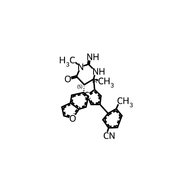 Cc1ccc(C#N)cc1-c1csc([C@@]2(C)NC(=N)N(C)C(=O)[C@H]2c2ccc3occc3c2)c1